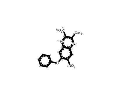 COc1nc2cc([N+](=O)[O-])c(Oc3ccccc3)cc2nc1C(=O)O